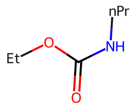 [CH2]CCNC(=O)OCC